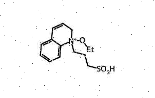 CCO[N+]1(CCCS(=O)(=O)O)CC=Cc2ccccc21